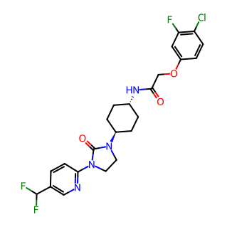 O=C(COc1ccc(Cl)c(F)c1)N[C@H]1CC[C@H](N2CCN(c3ccc(C(F)F)cn3)C2=O)CC1